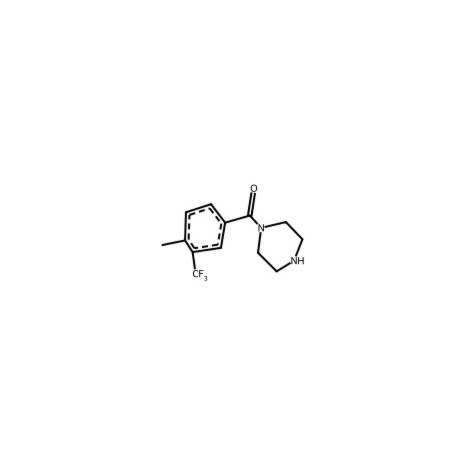 Cc1ccc(C(=O)N2CCNCC2)cc1C(F)(F)F